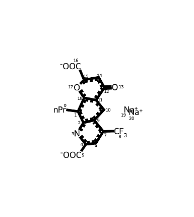 CCCc1c2nc(C(=O)[O-])cc(C(F)(F)F)c2cc2c(=O)cc(C(=O)[O-])oc12.[Na+].[Na+]